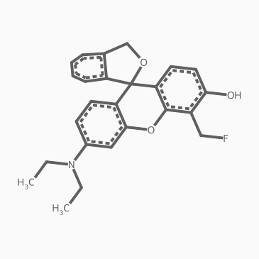 CCN(CC)c1ccc2c(c1)Oc1c(ccc(O)c1CF)C21OCc2ccccc21